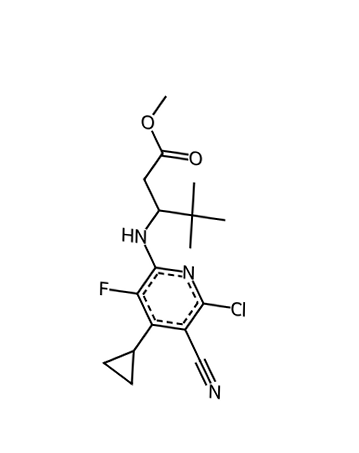 COC(=O)CC(Nc1nc(Cl)c(C#N)c(C2CC2)c1F)C(C)(C)C